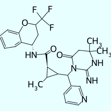 CC1C(C(c2cccnc2)N2C(=N)NC(C)(C)CC2=O)[C@@H]1C(=O)N[C@H]1CC(C(F)(F)F)Oc2ccccc21